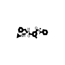 Cc1cc(C(=O)N[C@H](CCNC2CC2)Cc2ccccc2)cc(C(=O)N(C)[C@H](C)c2ccccc2)c1